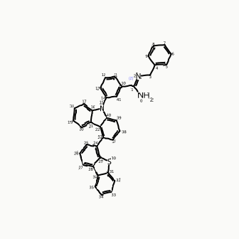 N/C(=N\Cc1ccccc1)c1cccc(-n2c3ccccc3c3c(-c4cccc5c4sc4ccccc45)cccc32)c1